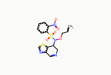 C=CCON(C1CN=Cc2ncsc21)S(=O)(=O)c1ccccc1[N+](=O)[O-]